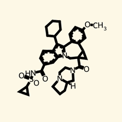 COc1ccc2c(c1)C1CC1(C(=O)N1CCN3CCC[C@H]3C1)Cn1c-2c(C2CCCCC2)c2ccc(C(=O)NS(=O)(=O)C3CC3)cc21